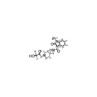 CC(C)n1c(=O)n(C(=O)NCC2CCN(CC(=O)C(C)(C)O)CC2)c2ccccc21